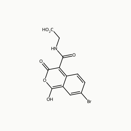 O=C(O)CNC(=O)c1c(=O)oc(O)c2cc(Br)ccc12